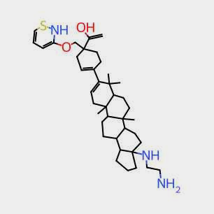 C=C(O)C1(COC2=CC=CSN2)CC=C(C2=CCC3(C)C(CCC4(C)C5CCC6(NCCN)CCCC6C5CCC43)C2(C)C)CC1